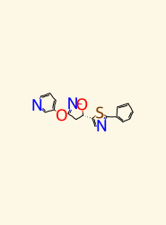 c1ccc(-c2ncc([C@@H]3CC(Oc4cccnc4)=NO3)s2)cc1